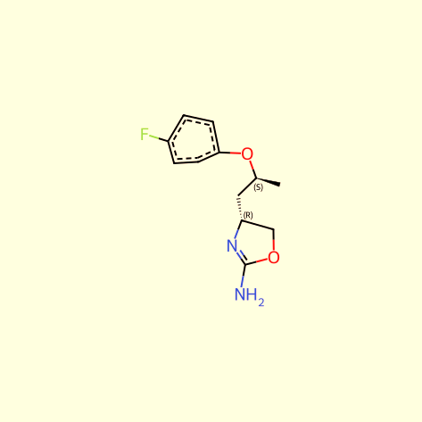 C[C@@H](C[C@@H]1COC(N)=N1)Oc1ccc(F)cc1